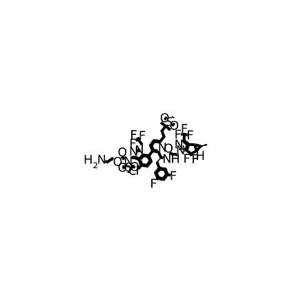 C[C@@H]1C2c3c(C(F)(F)F)nn(CC(=O)N[C@@H](Cc4cc(F)cc(F)c4)c4nc(CCC(C)(C)S(C)(=O)=O)ccc4-c4ccc(Cl)c5c(N(C(=O)OCCN)S(C)(=O)=O)nn(CC(F)(F)F)c45)c3C(F)(F)[C@@H]21